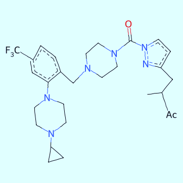 CC(=O)C(C)Cc1ccn(C(=O)N2CCN(Cc3ccc(C(F)(F)F)cc3N3CCN(C4CC4)CC3)CC2)n1